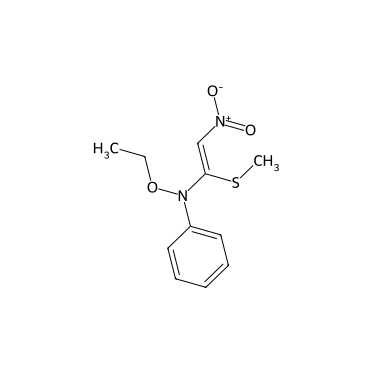 CCON(C(=C[N+](=O)[O-])SC)c1ccccc1